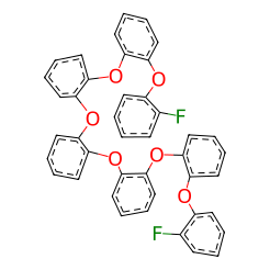 Fc1ccccc1Oc1ccccc1Oc1ccccc1Oc1ccccc1Oc1ccccc1Oc1ccccc1Oc1ccccc1F